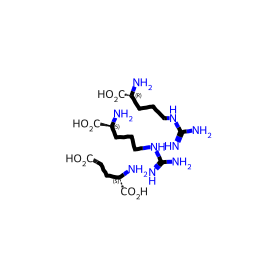 N=C(N)NCCC[C@@H](N)C(=O)O.N=C(N)NCCC[C@H](N)C(=O)O.N[C@@H](CCC(=O)O)C(=O)O